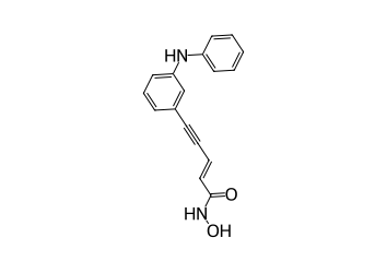 O=C(/C=C/C#Cc1cccc(Nc2ccccc2)c1)NO